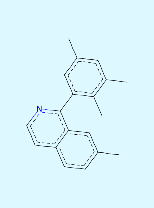 Cc1cc(C)c(C)c(-c2nccc3ccc(C)cc23)c1